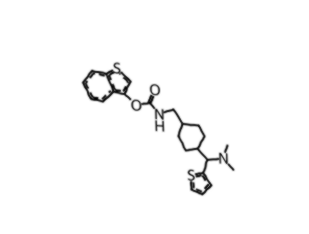 CN(C)C(c1cccs1)C1CCC(CNC(=O)Oc2csc3ccccc23)CC1